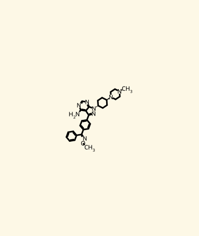 CON=C(c1ccccc1)c1ccc(-c2nn([C@H]3CC[C@H](N4CCN(C)CC4)CC3)c3ncnc(N)c23)cc1